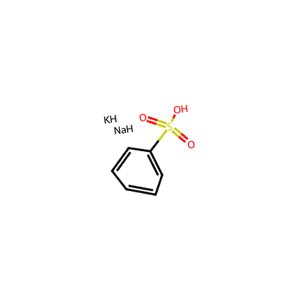 O=S(=O)(O)c1ccccc1.[KH].[NaH]